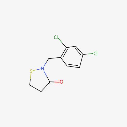 O=C1CCSN1Cc1ccc(Cl)cc1Cl